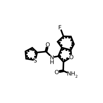 NC(=O)c1oc2ccc(F)cc2c1NC(=O)c1cccs1